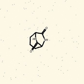 O=C1NC2CCCC1NC2=O